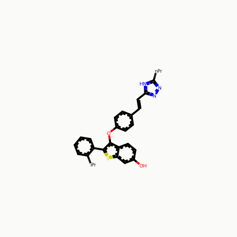 CCCc1nnc(C=Cc2ccc(Oc3c(-c4ccccc4C(C)C)sc4cc(O)ccc34)cc2)[nH]1